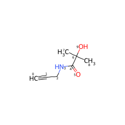 C#CCNC(=O)C(C)(C)O